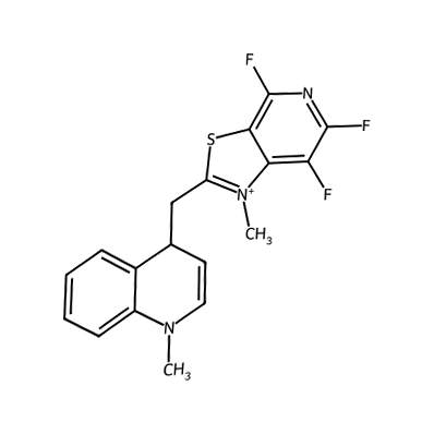 CN1C=CC(Cc2sc3c(F)nc(F)c(F)c3[n+]2C)c2ccccc21